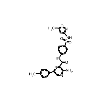 Cc1ccc(-c2cnc(N)c(C(=O)Nc3ccc(S(=O)(=O)Nc4cc(C)on4)cc3)n2)cc1